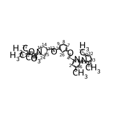 Cc1cc(COc2cccc(OCC3CCN(C(=O)OC(C)(C)C)CC3)c2)nc(-n2c(C)ccc2C)c1